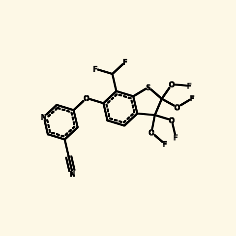 N#Cc1cncc(Oc2ccc3c(c2C(F)F)SC(OF)(OF)C3(OF)OF)c1